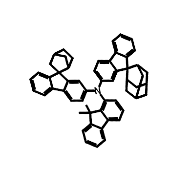 CC1(C)c2ccccc2-c2cccc(N(c3ccc4c(c3)C3(CC5CCC3C5)c3ccccc3-4)c3ccc4c(c3)C3(c5ccccc5-4)C4CC5CC(C4)CC3C5)c21